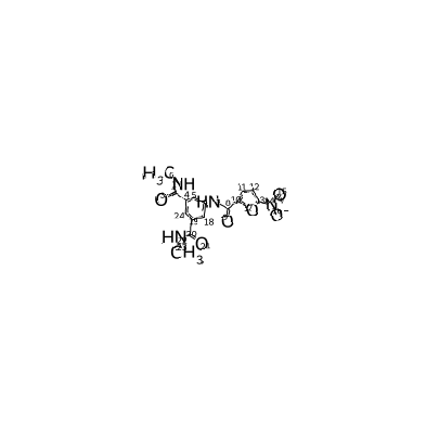 CNC(=O)c1cc(NC(=O)c2ccc([N+](=O)[O-])o2)cc(C(=O)NC)c1